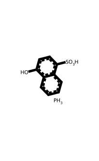 O=S(=O)(O)c1ccc(O)c2ccccc12.P